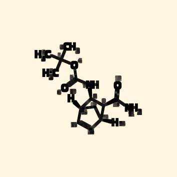 CC(C)(C)OC(=O)N[C@H]1[C@@H](C(N)=O)[C@@H]2C=C[C@H]1C2